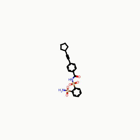 NS(=O)(=O)c1ccccc1S(=O)(=O)NC(=O)c1ccc(C#CC2CCCC2)cc1